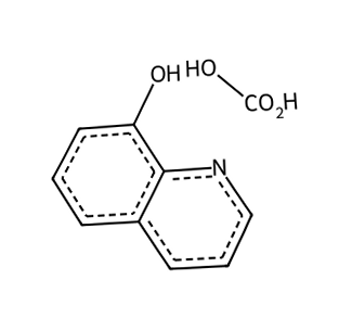 O=C(O)O.Oc1cccc2cccnc12